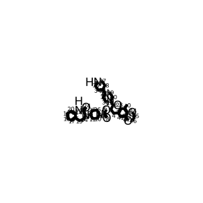 Cc1cc(CC(OC(=O)N2CCC(N3CCc4ccccc4NC3=O)CC2)C(=O)N2CCN(C3CCNCC3)CC2)cc2c1OCCO2